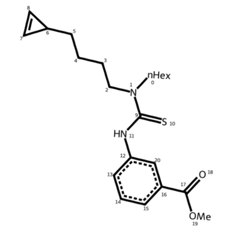 CCCCCCN(CCCCC1C=C1)C(=S)Nc1cccc(C(=O)OC)c1